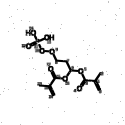 C=C(C)C(=O)OC(CCOOP(=O)(O)O)OC(=O)C(=C)C